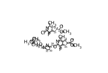 COC(=O)C1Cc2c(C)nc(Cl)c(F)c2C1.COC(=O)C1Cc2c(C)nc(OCc3ccn(COCC[Si](C)(C)C)n3)c(F)c2C1